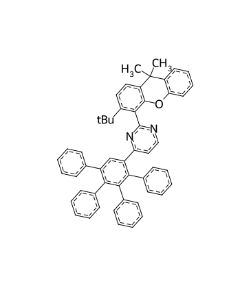 CC(C)(C)c1ccc2c(c1-c1nccc(-c3cc(-c4ccccc4)c(-c4ccccc4)c(-c4ccccc4)c3-c3ccccc3)n1)Oc1ccccc1C2(C)C